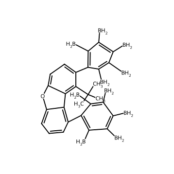 Bc1c(B)c(B)c(-c2ccc3oc4cccc(-c5c(B)c(B)c(B)c(B)c5B)c4c3c2C(C)(C)C)c(B)c1B